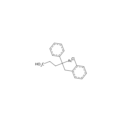 CC(=O)C(CCC(=O)O)(Cc1ccccc1Cl)c1ccccc1